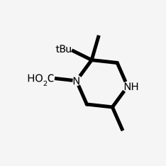 CC1CN(C(=O)O)C(C)(C(C)(C)C)CN1